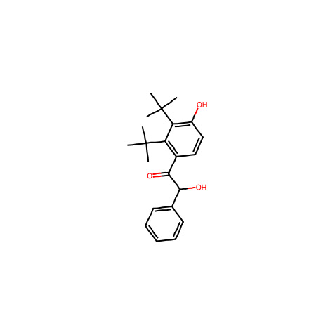 CC(C)(C)c1c(O)ccc(C(=O)C(O)c2ccccc2)c1C(C)(C)C